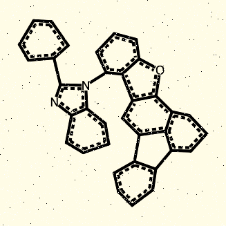 c1ccc(-c2nc3ccccc3n2-c2cccc3oc4c5cccc6c5c(cc4c23)-c2ccccc2-6)cc1